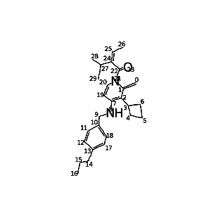 C=C1C(C2CCC2)=C(NCc2ccc(CCC)cc2)C=CN1C(=O)/C(=C\C)C(C)C